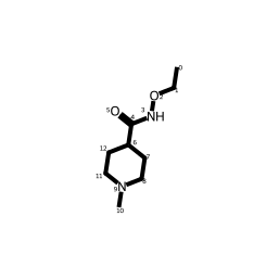 CCONC(=O)C1CCN(C)CC1